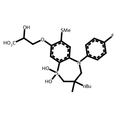 CCCCC1(C)CN(c2ccc(F)cc2)c2cc(SC)c(OCC(O)C(=O)O)cc2S(O)(O)C1